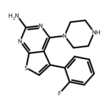 Nc1nc(N2CCNCC2)c2c(-c3ccccc3F)csc2n1